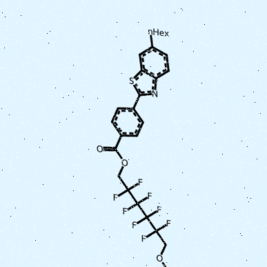 CCCCCCc1ccc2nc(-c3ccc(C(=O)OCC(F)(F)C(F)(F)C(F)(F)C(F)(F)COCCC)cc3)sc2c1